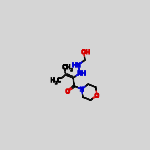 CC(C)=C(NNCO)C(=O)N1CCOCC1